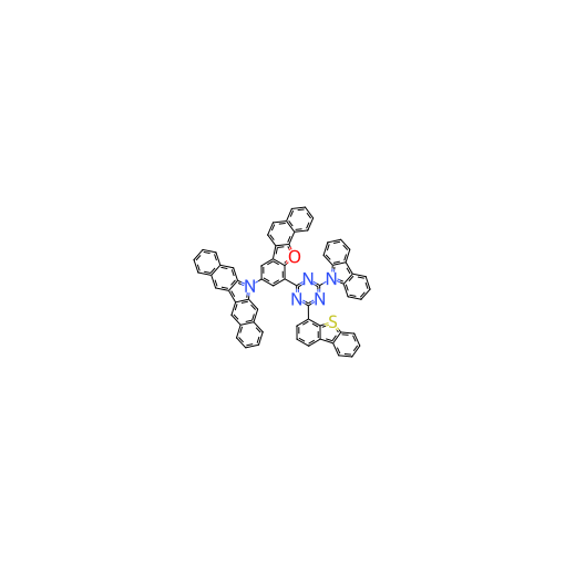 c1ccc2cc3c(cc2c1)c1cc2ccccc2cc1n3-c1cc(-c2nc(-c3cccc4c3sc3ccccc34)nc(-n3c4ccccc4c4ccccc43)n2)c2oc3c4ccccc4ccc3c2c1